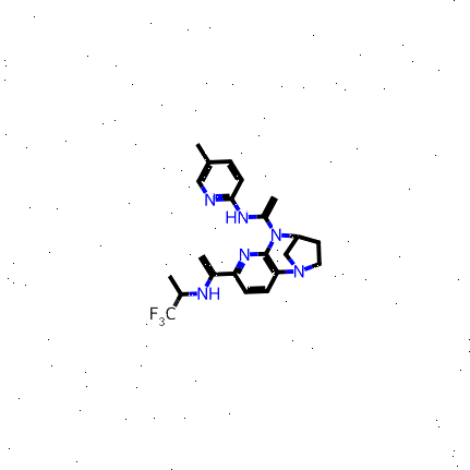 C=C(NC(C)C(F)(F)F)c1ccc2c(n1)N(C(=C)Nc1ccc(C)cn1)C1CCN2C1